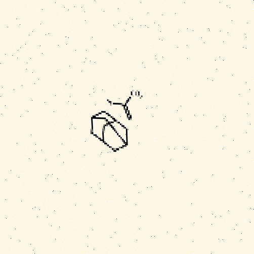 C1C2CC3CC1CC(C2)C3.C=C(C(=O)O)C(C)C